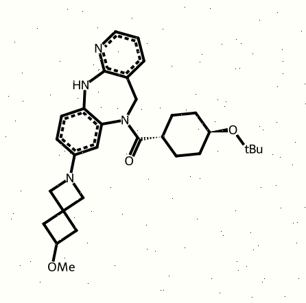 COC1CC2(C1)CN(c1ccc3c(c1)N(C(=O)[C@H]1CC[C@H](OC(C)(C)C)CC1)Cc1cccnc1N3)C2